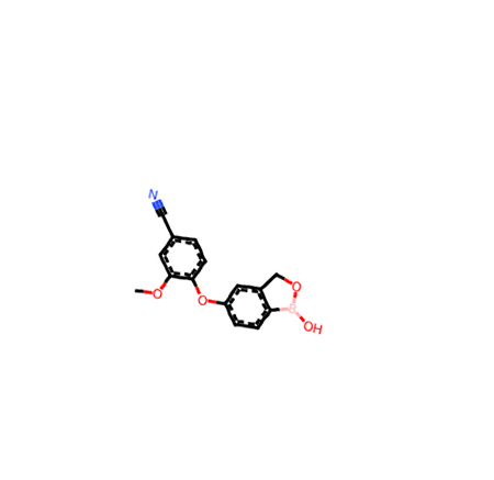 COc1cc(C#N)ccc1Oc1ccc2c(c1)COB2O